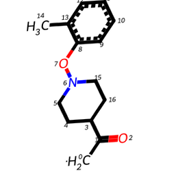 [CH2]C(=O)C1CCN(Oc2ccccc2C)CC1